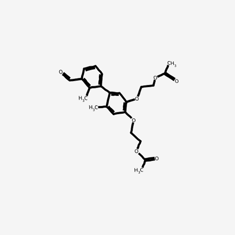 CC(=O)OCCOc1cc(C)c(-c2cccc(C=O)c2C)cc1OCCOC(C)=O